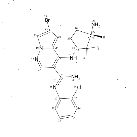 CC1(C)[C@H](Nc2c(/C(N)=N/c3ccccc3Cl)cnn3cc(Br)cc23)CC[C@]1(C)N